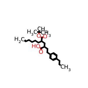 C=CCCCCC(CC(CCc1ccc(CCC)cc1)C(=O)O)C(=O)OC(C)(C)C